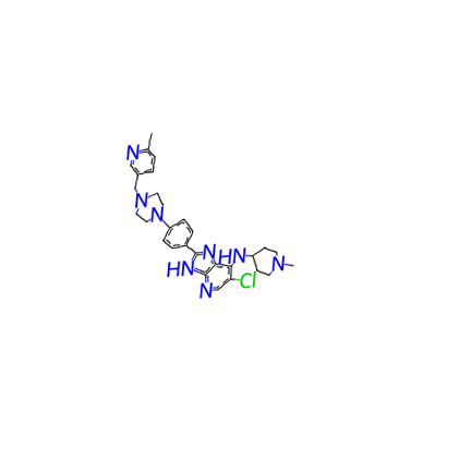 Cc1ccc(CN2CCN(c3ccc(-c4nc5c(NC6CCN(C)CC6)c(Cl)cnc5[nH]4)cc3)CC2)cn1